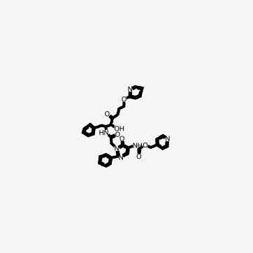 O=C(Cn1c(-c2ccccc2)ncc(NC(=O)OCc2ccncc2)c1=O)NC(Cc1ccccc1)C(O)C(=O)CCCOc1ccccn1